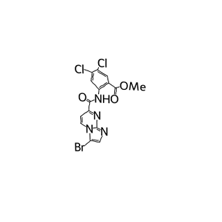 COC(=O)c1cc(Cl)c(Cl)cc1NC(=O)c1ccn2c(Br)cnc2n1